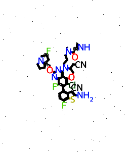 CN(CCCN1c2nc(OC[C@@]34CCCN3C[C@H](F)C4)nc3c(F)c(-c4ccc(F)c5sc(N)c(C#N)c45)c(Cl)c(c23)OCC1CC#N)C(=O)[C@H]1CN1